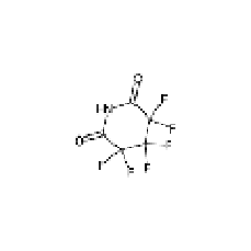 O=C1NC(=O)C(F)(F)C(F)(F)C1(F)F